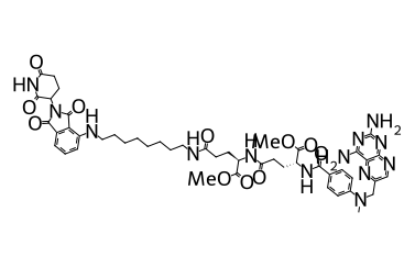 COC(=O)[C@@H](CCC(=O)NCCCCCCCCNc1cccc2c1C(=O)N(C1CCC(=O)NC1=O)C2=O)NC(=O)CC[C@@H](NC(=O)c1ccc(N(C)Cc2cnc3nc(N)nc(N)c3n2)cc1)C(=O)OC